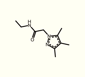 CCNC(=O)Cn1nc(C)c(C)c1C